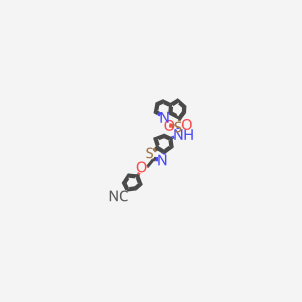 N#Cc1ccc(OCc2nc3cc(NS(=O)(=O)c4cccc5cccnc45)ccc3s2)cc1